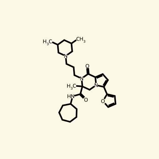 CC1CC(C)CN(CCCN2C(=O)c3ccc(-c4ccco4)n3CC2(C)C(=O)NC2CCCCCC2)C1